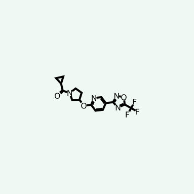 O=C(C1CC1)N1CCC(Oc2ccc(-c3noc(C(F)(F)F)n3)cn2)C1